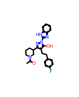 CC(=O)N1CCCC(c2nn(-c3nc4ccccc4[nH]3)c(O)c2CCc2ccc(F)cc2)C1